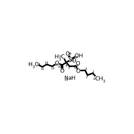 CCCCOC(=O)CC(C)(C(=O)OCCCC)S(=O)(=O)O.[NaH]